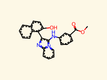 COC(=O)c1cccc(Nc2c(-c3c(O)ccc4ccccc34)nc3ccccn23)c1